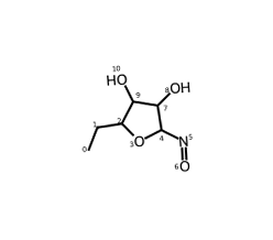 CCC1OC(N=O)C(O)C1O